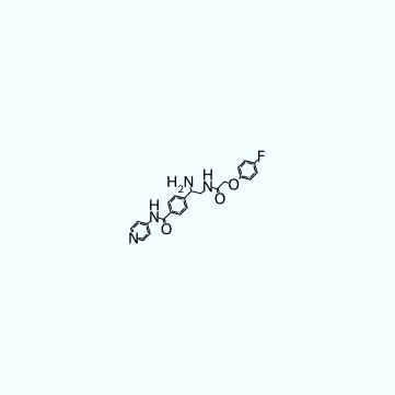 NC(CNC(=O)COc1ccc(F)cc1)c1ccc(C(=O)Nc2ccncc2)cc1